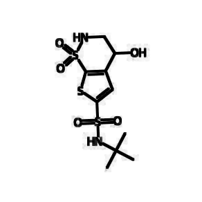 CC(C)(C)NS(=O)(=O)c1cc2c(s1)S(=O)(=O)NCC2O